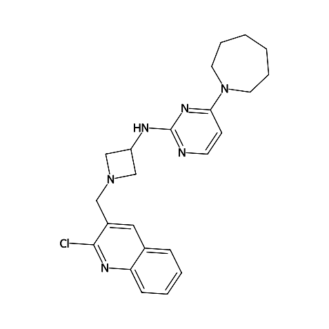 Clc1nc2ccccc2cc1CN1CC(Nc2nccc(N3CCCCCC3)n2)C1